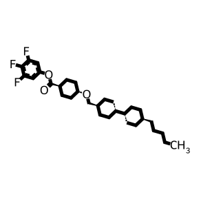 CCCCC[C@H]1CC[C@H]([C@H]2CC[C@H](CO[C@H]3CC[C@H](C(=O)Oc4cc(F)c(F)c(F)c4)CC3)CC2)CC1